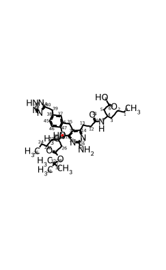 CCCCC(CC(=O)O)NC(=O)CCc1nc(N)nc(NC(CCCC)CC(=O)OC(C)(C)C)c1Cc1cc(Cc2nn[nH]n2)ccc1OC